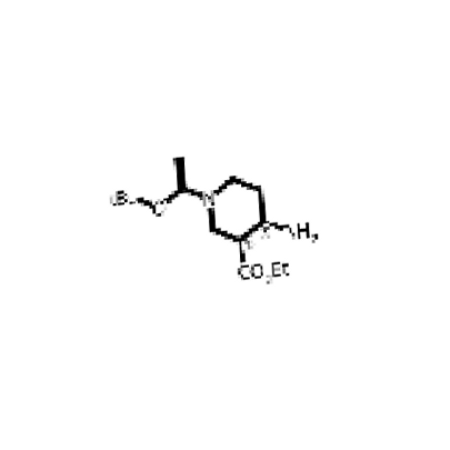 C=C(OC(C)(C)C)N1CC[C@@H](N)[C@@H](C(=O)OCC)C1